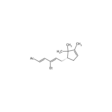 CCC(/C=C/C(C)=O)=C\C[C@H]1CC=C(C)C1(C)C